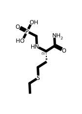 CCSCC[C@H](NCP(=O)(O)O)C(N)=O